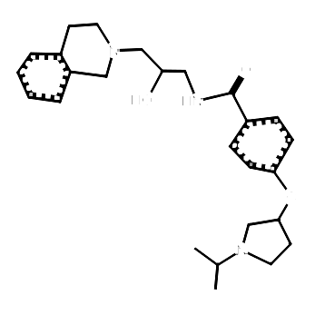 CC(C)N1CCC(Oc2ccc(C(=O)NCC(O)CN3CCc4ccccc4C3)cc2)C1